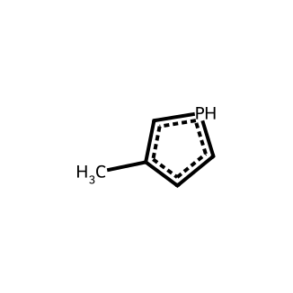 Cc1cc[pH]c1